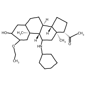 CCOC1C[C@@]2(C)C(CC[C@H]3[C@@H]4CC[C@H](C(C)=O)[C@@]4(C)CC(NC4CCCCC4)[C@@H]32)CC1O